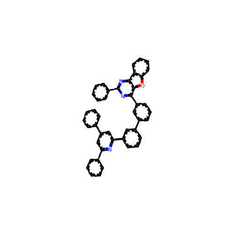 c1ccc(-c2cc(-c3ccccc3)nc(-c3cccc(-c4cccc(-c5nc(-c6ccccc6)nc6c5oc5ccccc56)c4)c3)c2)cc1